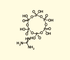 N=C(N)N.O=P1(O)OP(=O)(O)OP(=O)(O)OP(=O)(O)OP(=O)(O)OP(=O)(O)O1